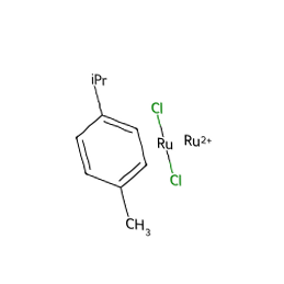 Cc1ccc(C(C)C)cc1.[Cl][Ru][Cl].[Ru+2]